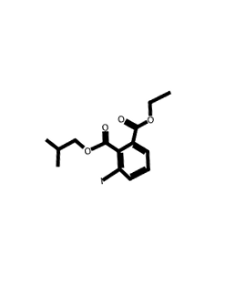 CCOC(=O)c1cccc(I)c1C(=O)OCC(C)C